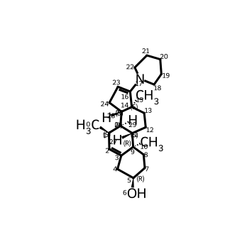 C[C@@H]1C=C2C[C@H](O)CC[C@]2(C)[C@H]2CC[C@]3(C)C(N4CCCCC4)=CC[C@H]3[C@H]12